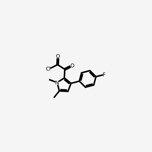 Cc1cc(-c2ccc(F)cc2)c(C(=O)C(=O)Cl)n1C